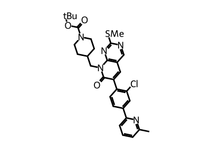 CSc1ncc2cc(-c3ccc(-c4cccc(C)n4)cc3Cl)c(=O)n(CC3CCN(C(=O)OC(C)(C)C)CC3)c2n1